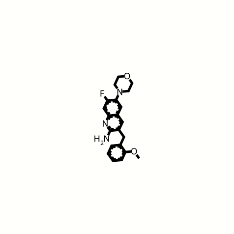 COc1ccccc1Cc1cc2cc(N3CCOCC3)c(F)cc2nc1N